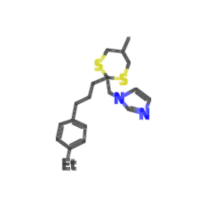 CCc1ccc(CCCC2(Cn3ccnc3)SCC(C)CS2)cc1